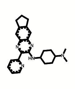 CN(C)C1CCC(Nc2nc3cc4c(cc3nc2-c2ccccn2)CCC4)CC1